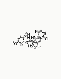 COc1ccc([C@@H](C)NC(=O)C2[C@@H](Nc3nc(Cl)ncc3F)[C@@H]3C=C[C@H]2C3)cc1